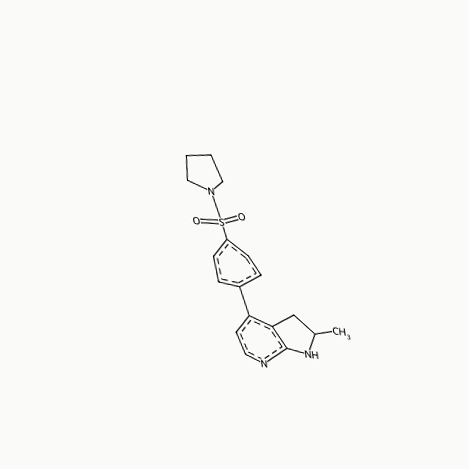 CC1Cc2c(-c3ccc(S(=O)(=O)N4CCCC4)cc3)ccnc2N1